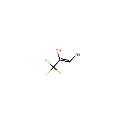 N#CC=C(O)C(F)(F)F